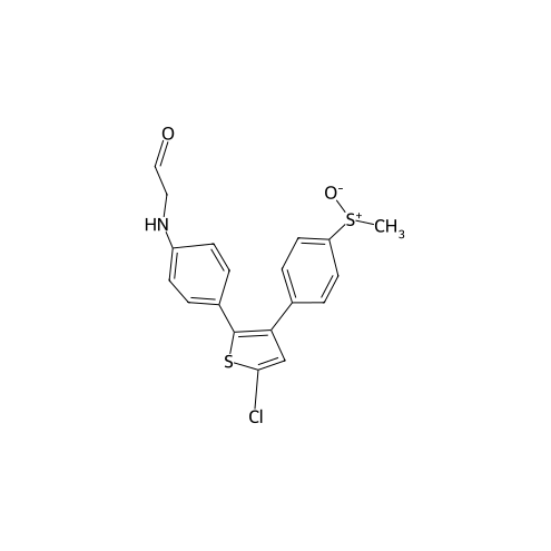 C[S+]([O-])c1ccc(-c2cc(Cl)sc2-c2ccc(NCC=O)cc2)cc1